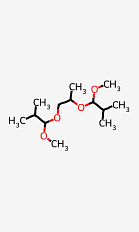 COC(OCC(C)OC(OC)C(C)C)C(C)C